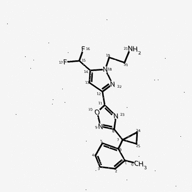 Cc1ccccc1C1(c2noc(-c3cc(C(F)F)n(CCN)n3)n2)CC1